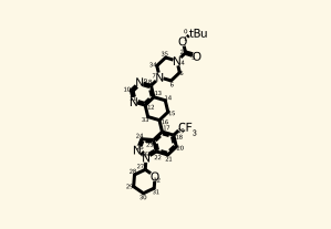 CC(C)(C)OC(=O)N1CCN(c2ncnc3c2CCC(c2c(C(F)(F)F)ccc4c2cnn4C2CCCCO2)C3)CC1